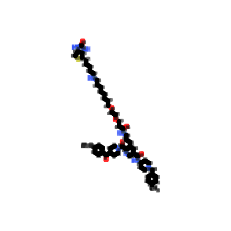 COc1ccc(C(=O)C2CCN(C(=O)c3ncc(C(=O)NC4CCN(Cc5ccc(C)cc5)CC4)cc3CCCNC(=O)CCOCCOCCCCCCCCNCCCCC[C@@H]3SCC4NC(=O)NC43)CC2)cc1